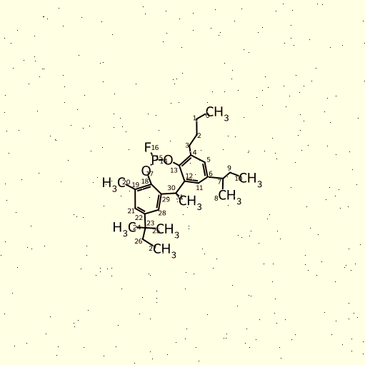 CCCCc1cc(C(C)CC)cc2c1OP(F)Oc1c(C)cc(C(C)(C)CC)cc1C2C